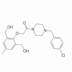 Cc1cc(CO)c(OCC(=O)N2CCN(Cc3ccc(Cl)cc3)CC2)c(CO)c1